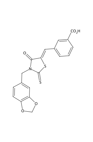 O=C(O)c1cccc(C=C2SC(=S)N(Cc3ccc4c(c3)OCO4)C2=O)c1